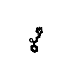 O=C(CCCn1ccnc1)c1ccccc1